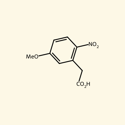 COc1ccc([N+](=O)[O-])c(CC(=O)O)c1